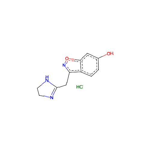 Cl.Oc1ccc2c(CC3=NCCN3)noc2c1